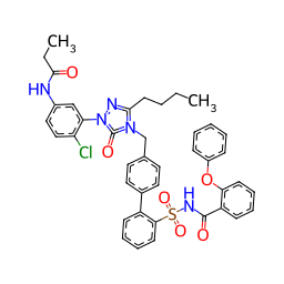 CCCCc1nn(-c2cc(NC(=O)CC)ccc2Cl)c(=O)n1Cc1ccc(-c2ccccc2S(=O)(=O)NC(=O)c2ccccc2Oc2ccccc2)cc1